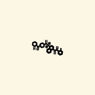 Cc1ccccc1C(=O)Nc1ccc(S(=O)(=O)NC2CCN(C(=O)[C@@H]3CCCCN3)CC2)c2ccccc12